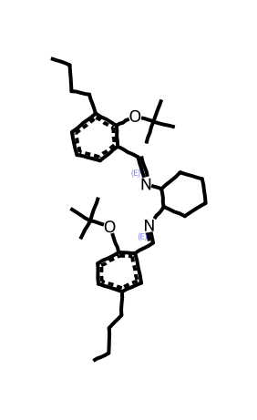 CCCCc1ccc(OC(C)(C)C)c(/C=N/C2CCCCC2/N=C/c2cccc(CCCC)c2OC(C)(C)C)c1